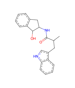 C[C](Cc1c[nH]c2ccccc12)C(=O)NC1Cc2ccccc2C1O